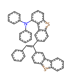 C(=C(/c1ccc2sc3ccccc3c2c1)c1ccc2sc3cccc(N(c4ccccc4)c4ccccc4)c3c2c1)/c1ccccc1